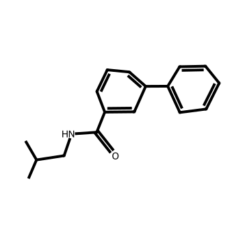 CC(C)CNC(=O)c1cccc(-c2ccccc2)c1